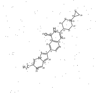 Cc1cn2cc(-c3ccc4nc(C5CCN(C6CC6)CC5)[nH]c(=O)c4c3)cc2cn1